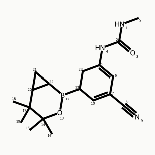 CNC(=O)NC1=CC(C#N)=CC(B2OC(C)(C)C(C)(C)C3CC23)C1